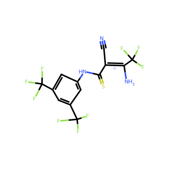 N#C/C(C(=S)Nc1cc(C(F)(F)F)cc(C(F)(F)F)c1)=C(/N)C(F)(F)F